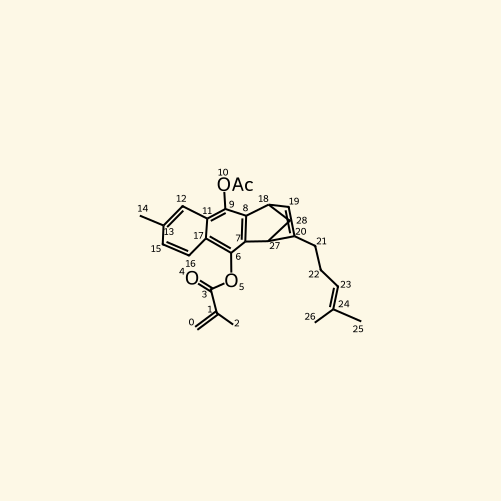 C=C(C)C(=O)Oc1c2c(c(OC(C)=O)c3cc(C)ccc13)C1C=C(CCC=C(C)C)C2C1